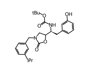 CC(C)c1cccc(CN2CC([C@H](Cc3cccc(O)c3)NC(=O)OC(C)(C)C)OC2=O)c1